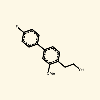 COc1cc(-c2ccc(F)cc2)ccc1CCO